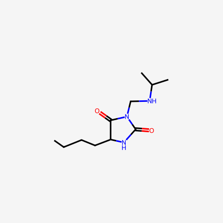 CCCCC1NC(=O)N(CNC(C)C)C1=O